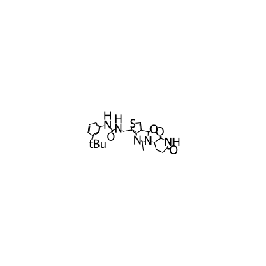 Cc1nc2c(CNC(=O)Nc3cccc(C(C)(C)C)c3)scc2c(=O)n1C1CCC(=O)NC1=O